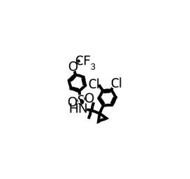 CC(C)(NS(=O)(=O)c1ccc(OC(F)(F)F)cc1)C1(c2ccc(Cl)c(Cl)c2)CC1